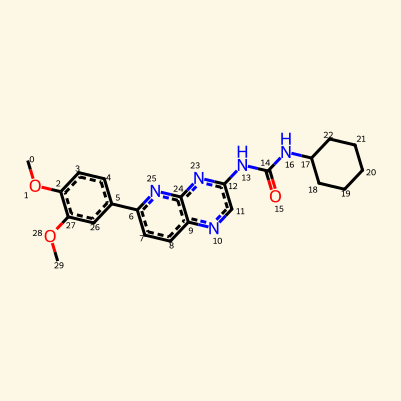 COc1ccc(-c2ccc3ncc(NC(=O)NC4CCCCC4)nc3n2)cc1OC